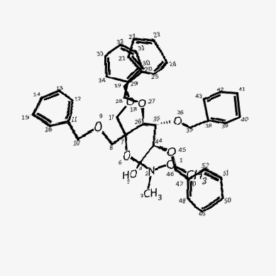 CON(C)C1(O)OC(COCc2ccccc2)(COCc2ccccc2)[C@@H](OCc2ccccc2)[C@H](OCc2ccccc2)[C@H]1OCc1ccccc1